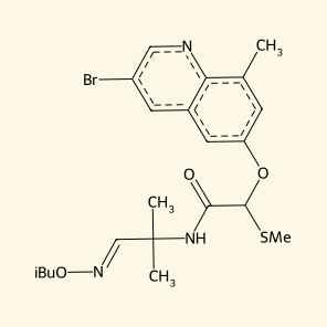 CSC(Oc1cc(C)c2ncc(Br)cc2c1)C(=O)NC(C)(C)/C=N/OCC(C)C